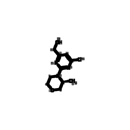 C[C@H]1COCCN1c1nc(Cl)cc(CO)n1